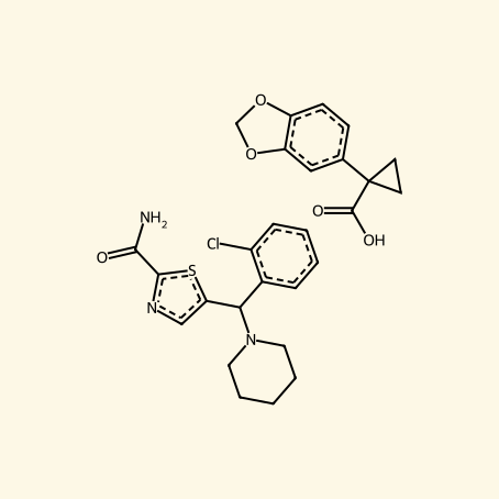 NC(=O)c1ncc(C(c2ccccc2Cl)N2CCCCC2)s1.O=C(O)C1(c2ccc3c(c2)OCO3)CC1